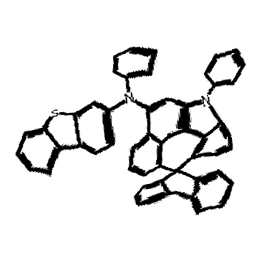 c1ccc(N(c2ccc3c(c2)sc2ccccc23)c2cc3c4c5c(cccc25)C2(c5ccccc5-c5ccccc52)c2cccc(c24)n3-c2ccccc2)cc1